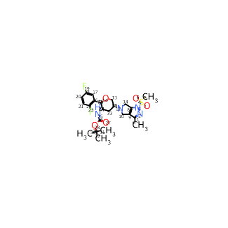 Cc1nn(S(C)(=O)=O)c2c1CN([C@H]1CO[C@H](c3cc(F)ccc3F)[C@@H](NC(=O)OC(C)(C)C)C1)C2